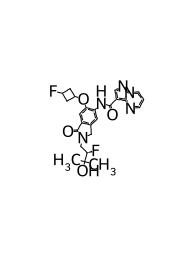 CC(C)(O)[C@H](F)CN1Cc2cc(NC(=O)c3cnn4cccnc34)c(OC3CC(F)C3)cc2C1=O